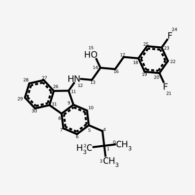 CC(C)(C)Cc1ccc2c(c1)C(NCC(O)CCc1cc(F)cc(F)c1)c1ccccc1-2